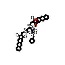 O=C1C(=Cc2nc3c(s2)-c2sc(C=C4C(=O)c5cc6cc7ccccc7cc6cc5C4=O)nc2C(C(=O)OCc2ccccc2)(C(=O)OCc2ccccc2)O3)C(=O)c2cc3cc4ccccc4cc3cc21